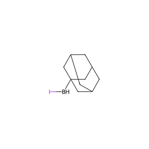 IBC12CC3CC(CC(C3)C1)C2